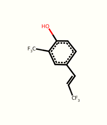 Oc1ccc(C=CC(F)(F)F)cc1C(F)(F)F